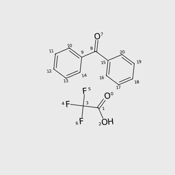 O=C(O)C(F)(F)F.O=C(c1ccccc1)c1ccccc1